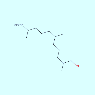 CCCCCC(C)CCCC(C)CCCC(C)CO